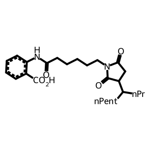 CCCCCC(CCC)C1CC(=O)N(CCCCCC(=O)Nc2ccccc2C(=O)O)C1=O